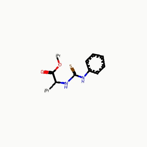 CC(C)OC(=O)C(NC(=S)Nc1ccccc1)C(C)C